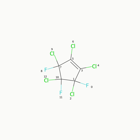 FC1(Cl)C(Cl)=C(Cl)C(F)(Cl)C1(F)Cl